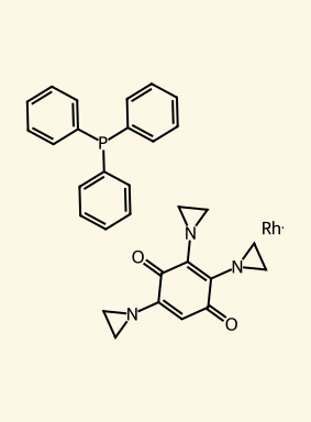 O=C1C=C(N2CC2)C(=O)C(N2CC2)=C1N1CC1.[Rh].c1ccc(P(c2ccccc2)c2ccccc2)cc1